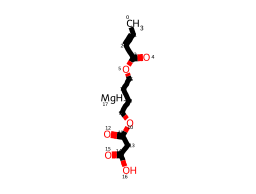 CC=CC(=O)OCCCCOC(=O)CC(=O)O.[MgH2]